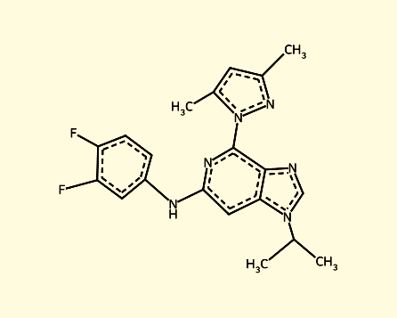 Cc1cc(C)n(-c2nc(Nc3ccc(F)c(F)c3)cc3c2ncn3C(C)C)n1